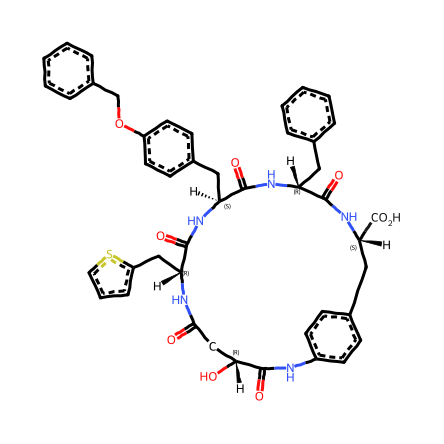 O=C1C[C@@H](O)C(=O)Nc2ccc(cc2)C[C@@H](C(=O)O)NC(=O)[C@@H](Cc2ccccc2)NC(=O)[C@H](Cc2ccc(OCc3ccccc3)cc2)NC(=O)[C@@H](Cc2cccs2)N1